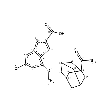 COc1cc(Cl)cn2nc(C(=O)O)cc12.NC(=O)C12CC3CC(CC(C3)C1)C2